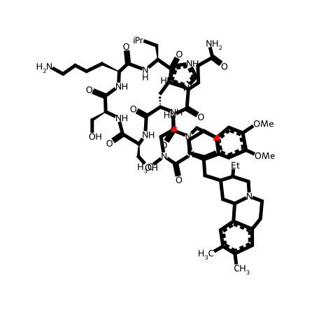 CCC1CN2CCc3cc(C)c(C)cc3C2CC1CC1c2cc(OC)c(OC)cc2CCN1C(=O)N(C)CCNC(=O)C(CCC(N)=O)NC(=O)[C@H](CC(C)C)NC(=O)[C@H](CCCCN)NC(=O)[C@H](CO)NC(=O)[C@H](CO)NC(=O)[C@H](Cc1c[nH]cn1)NC(=O)N1CCOCC1